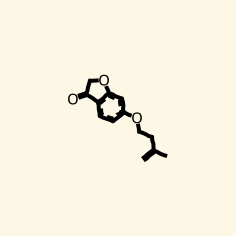 C=C(C)CCOc1ccc2c(c1)OCC2=O